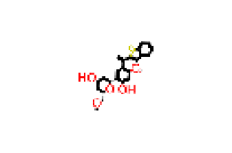 C=C(c1cc2ccccc2s1)c1cc([C@H]2C[C@@H](O)C[C@@H](COC)O2)c(O)cc1OC